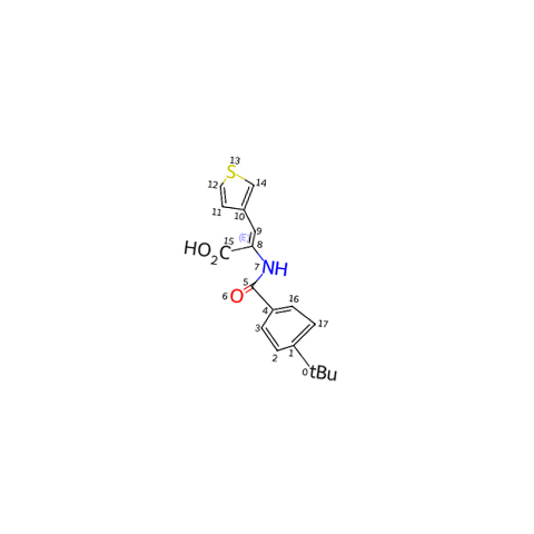 CC(C)(C)c1ccc(C(=O)N/C(=C/c2ccsc2)C(=O)O)cc1